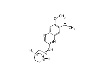 COc1cc2ncc(N[C@@H]3C[C@@H]4CC[C@@H]3C4)nc2cc1OC